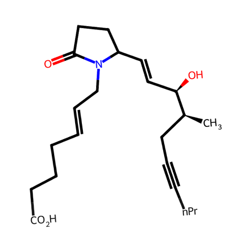 CCCC#CC[C@H](C)[C@H](O)C=CC1CCC(=O)N1CC=CCCCC(=O)O